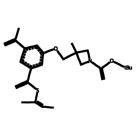 C=C(C)c1cc(OCC2(C)CN(C(=C)OC(C)(C)C)C2)cc(C(=C)S/C(C)=C\C)c1